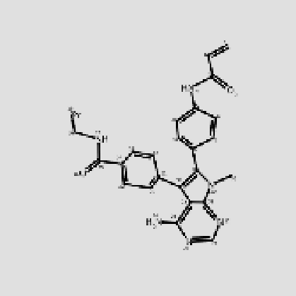 C=CC(=O)Nc1ccc(-c2c(-c3ccc(C(=O)NCC(C)C)cc3)c3c(N)ncnc3n2C)cc1